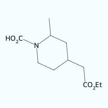 CCOC(=O)CC1CCN(C(=O)O)C(C)C1